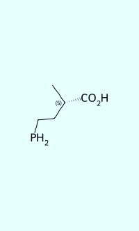 C[C@@H](CCP)C(=O)O